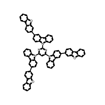 c1ccc2c(c1)oc1cc(-c3ccc4c(c3)c3ccccc3n4-c3cc(-n4c5ccccc5c5cc(-c6ccc7c(c6)oc6ccccc67)ccc54)nc(-n4c5ccccc5c5cc(-c6ccc7c(c6)oc6ccccc67)ccc54)n3)ccc12